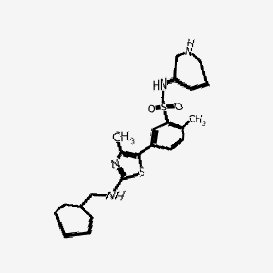 Cc1ccc(-c2sc(NCC3CCCCC3)nc2C)cc1S(=O)(=O)NC1CCCNC1